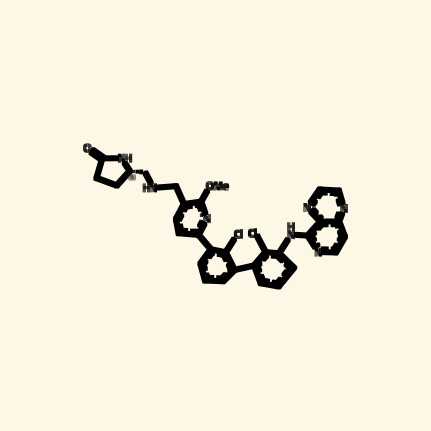 COc1nc(-c2cccc(-c3cccc(Nc4nccc5nccnc45)c3Cl)c2Cl)ccc1CNC[C@@H]1CCC(=O)N1